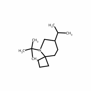 CC(C)C1CCC2(CCC2)N(C(C)(C)C)C1